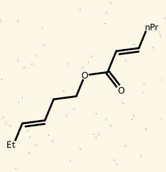 CCC=CCCOC(=O)C=CCCC